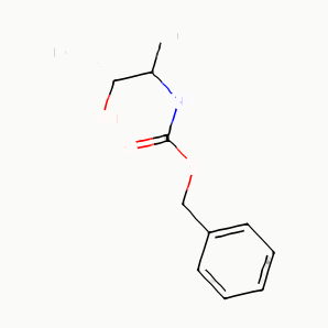 CCCC(NC(=O)OCc1ccccc1)[C@H](O)C(=O)O